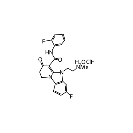 CNCCN1C2=C(C(=O)Nc3ccccc3F)C(=O)CCN2c2ccc(F)cc21.Cl.O